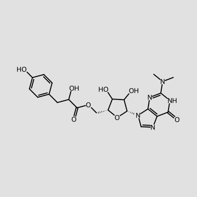 CN(C)c1nc2c(ncn2[C@@H]2O[C@H](COC(=O)C(O)Cc3ccc(O)cc3)C(O)C2O)c(=O)[nH]1